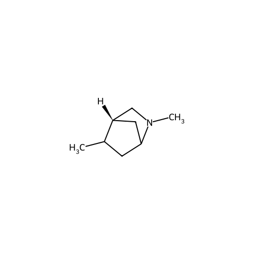 CC1CC2C[C@H]1CN2C